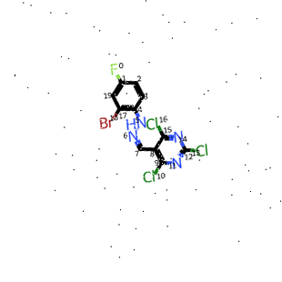 Fc1ccc(N/N=C\c2c(Cl)nc(Cl)nc2Cl)c(Br)c1